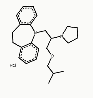 CC(C)COCC(CN1c2ccccc2CCc2ccccc21)N1CCCC1.Cl